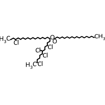 CCCCCCCCCCCCCCCCCC(=O)OC(CCCCCCCCCCCCCC(Cl)CCC)CCC(Cl)CCC(Cl)C(Cl)CCCC(C)Cl